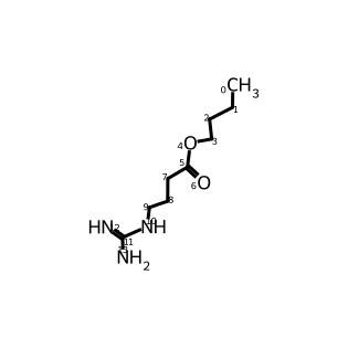 CCCCOC(=O)CCCNC(=N)N